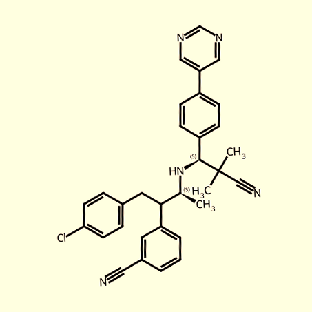 C[C@H](N[C@@H](c1ccc(-c2cncnc2)cc1)C(C)(C)C#N)C(Cc1ccc(Cl)cc1)c1cccc(C#N)c1